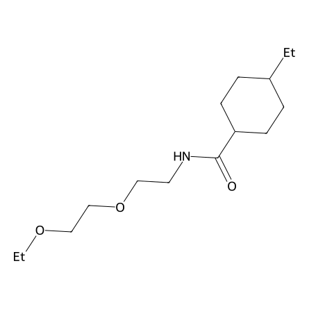 CCOCCOCCNC(=O)C1CCC(CC)CC1